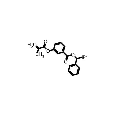 C=C(C)C(=O)Oc1cccc(C(=O)OC(c2ccccc2)C(C)C)c1